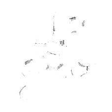 Cc1ccc(C(=O)N(CCN)C(c2nc3c(oc4ccc(Cl)cc43)c(=O)n2Cc2ccc(/C=C/O)s2)C(C)C)cc1